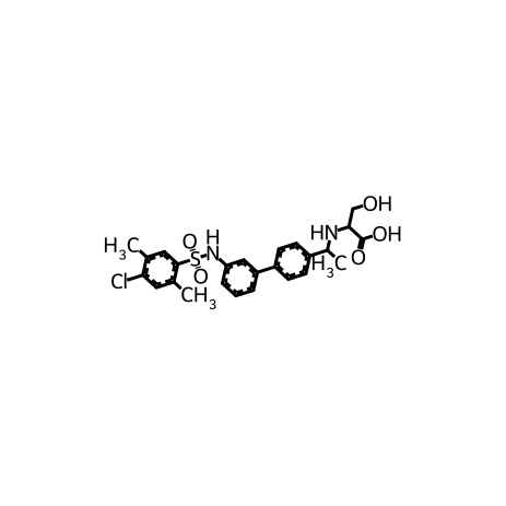 Cc1cc(S(=O)(=O)Nc2cccc(-c3ccc(C(C)NC(CO)C(=O)O)cc3)c2)c(C)cc1Cl